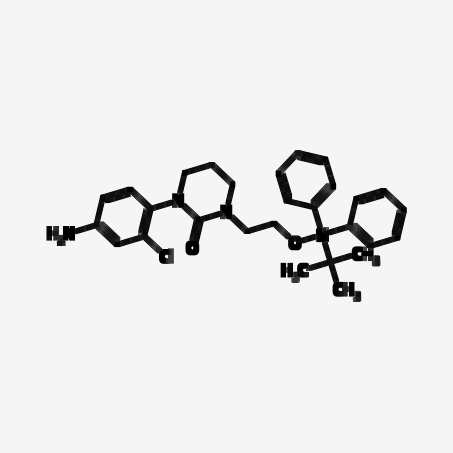 CC(C)(C)[Si](OCCN1CCCN(c2ccc(N)cc2Cl)C1=O)(c1ccccc1)c1ccccc1